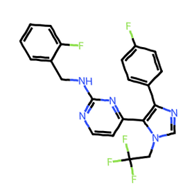 Fc1ccc(-c2ncn(CC(F)(F)F)c2-c2ccnc(NCc3ccccc3F)n2)cc1